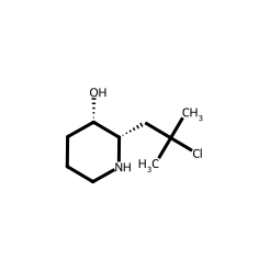 CC(C)(Cl)C[C@@H]1NCCC[C@@H]1O